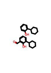 O=Cc1cccc(C2CCCCC2)c1O.Oc1ccccc1C1CCCCC1